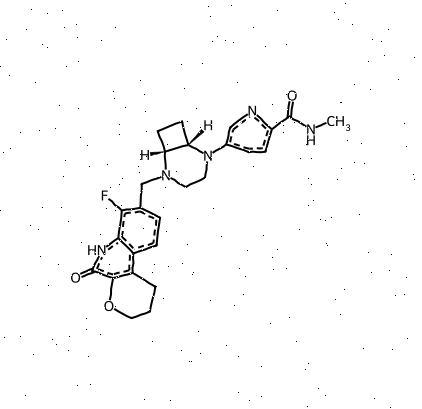 CNC(=O)c1ccc(N2CCN(Cc3ccc4c5c(c(=O)[nH]c4c3F)OCCC5)[C@@H]3CC[C@@H]32)cn1